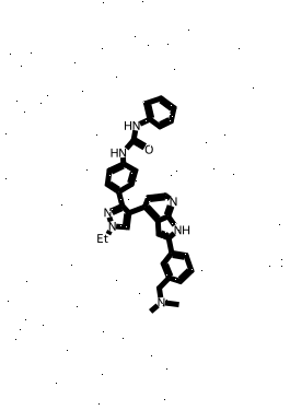 CCn1cc(-c2ccnc3[nH]c(-c4cccc(CN(C)C)c4)cc23)c(-c2ccc(NC(=O)Nc3ccccc3)cc2)n1